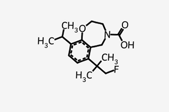 CC(C)c1ccc(C(C)(C)CF)c2c1OCCN(C(=O)O)C2